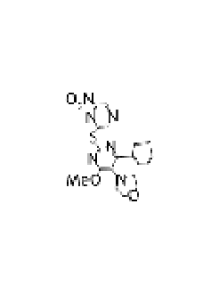 COc1nc(Sc2cncc([N+](=O)[O-])n2)nc(-c2ccccc2)c1N1CCOCC1